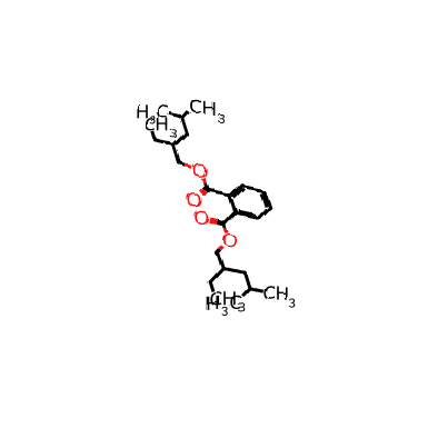 CCC(COC(=O)c1ccccc1C(=O)OCC(CC)CC(C)C)CC(C)C